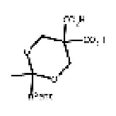 CCCCCC1(C)OCC(C(=O)O)(C(=O)O)CO1